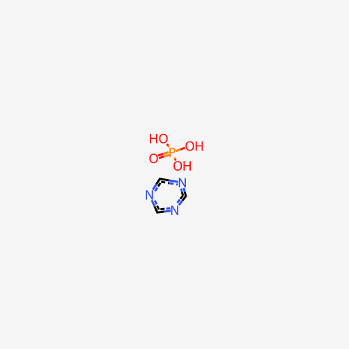 O=P(O)(O)O.c1ncncn1